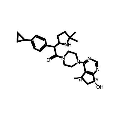 C[C@@H]1C[C@@H](O)c2ncnc(N3CCN(C(=O)C(c4ccc(C5CC5)cc4)C4CCC(C)(C)N4)CC3)c21